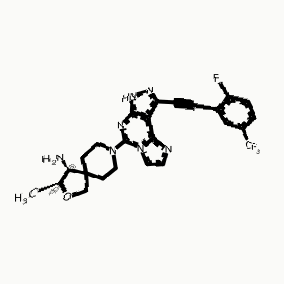 C[C@@H]1OCC2(CCN(c3nc4[nH]nc(C#Cc5cc(C(F)(F)F)ccc5F)c4c4nccn34)CC2)[C@@H]1N